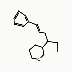 CC[C](CC=Cc1ccccc1)C1CCCOC1